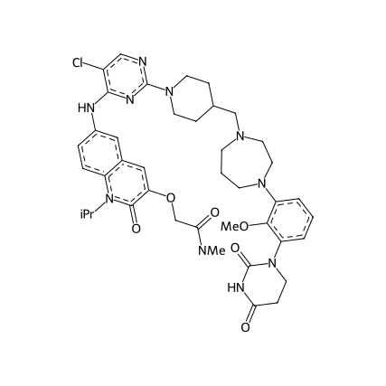 CNC(=O)COc1cc2cc(Nc3nc(N4CCC(CN5CCCN(c6cccc(N7CCC(=O)NC7=O)c6OC)CC5)CC4)ncc3Cl)ccc2n(C(C)C)c1=O